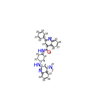 CN(C)c1cc(N[C@H]2CC[C@@H](NC(=O)c3cc(-c4ccccc4)nc4ccccc34)CC2)nc2ccccc12